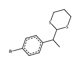 CC(c1ccc(Br)cc1)C1SCCCS1